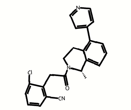 C[C@H]1c2cccc(-c3ccncc3)c2CCN1C(=O)Cc1c(Cl)cccc1C#N